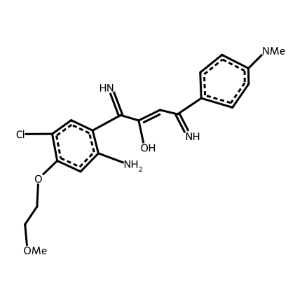 CNc1ccc(C(=N)/C=C(\O)C(=N)c2cc(Cl)c(OCCOC)cc2N)cc1